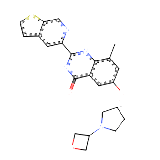 Cc1cc(O[C@@H]2CCN(C3COC3)C2)cc2c(=O)[nH]c(-c3cc4ccsc4cn3)nc12